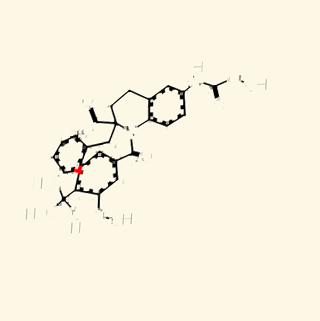 COC(=O)Nc1ccc2c(c1)CCC(Cc1ccccc1)(C(=O)O)N2C(=O)c1ccc(C(C)(C)C)c(OC)c1